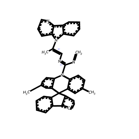 C=N/C(=N\C=C(/C)n1c2ccccc2c2ncccc21)N1c2ccc(C)cc2C2(c3ccccc3-c3ccccc32)c2cc(C)ccc21